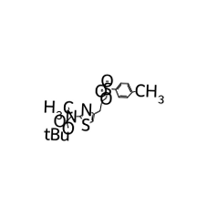 Cc1ccc(S(=O)(=O)OCCc2csc(N(C)C(=O)OC(C)(C)C)n2)cc1